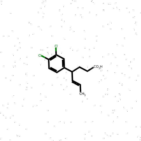 CC=CC(CCC(=O)O)c1ccc(Cl)c(Cl)c1